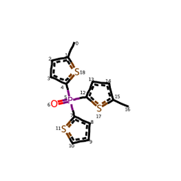 Cc1ccc(P(=O)(c2cccs2)c2ccc(C)s2)s1